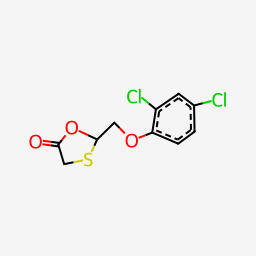 O=C1CSC(COc2ccc(Cl)cc2Cl)O1